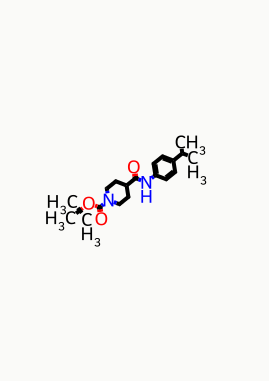 CC(C)c1ccc(NC(=O)C2CCN(C(=O)OC(C)(C)C)CC2)cc1